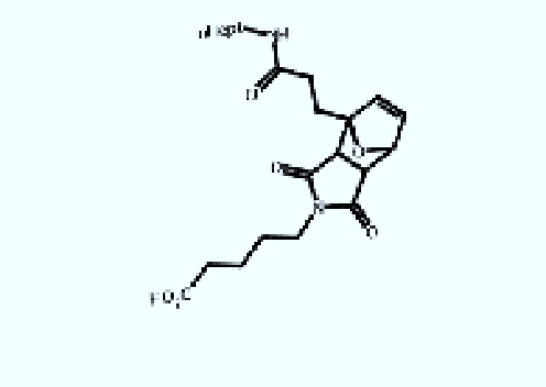 CCCCCCCNC(=O)CCC12C=CC(O1)C1C(=O)N(CCCCC(=O)O)C(=O)C12